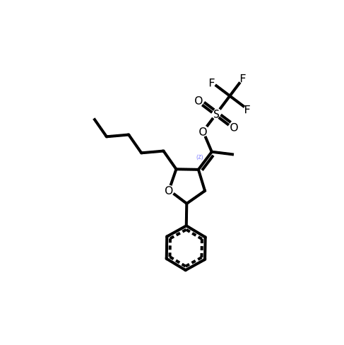 CCCCCC1OC(c2ccccc2)C/C1=C(\C)OS(=O)(=O)C(F)(F)F